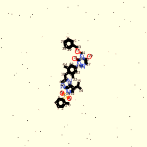 Cc1ccccc1S(=O)(=O)n1cc(C(C)C)c2nc(Cc3c(C)cc(-n4ncc(=O)n(COCc5ccccc5)c4=O)cc3C)cnc21